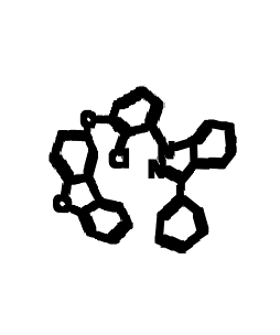 Clc1c(Oc2ccc3oc4ccccc4c3c2)cccc1-n1nc(-c2ccccc2)c2ccccc21